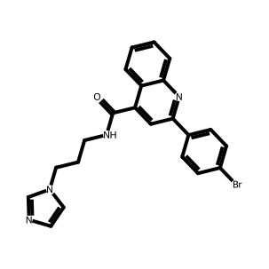 O=C(NCCCn1ccnc1)c1cc(-c2ccc(Br)cc2)nc2ccccc12